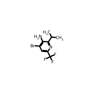 CC(C)c1nc(C(F)(F)F)cc(Br)c1N